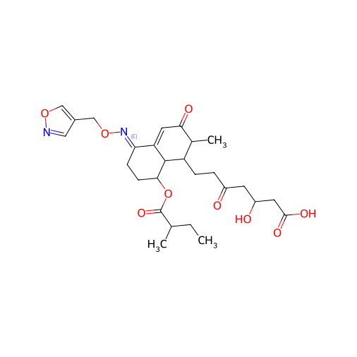 CCC(C)C(=O)OC1CC/C(=N\OCc2cnoc2)C2=CC(=O)C(C)C(CCC(=O)CC(O)CC(=O)O)C21